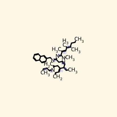 C=C/C=C(CC(=C)/N=C\C=C/C)/C(/C=C\CC(=N/CC1=CC2C=CC=CC2C=C1)/N=C(NC)/C(C)=C/C(C)=C(\C)CCC)=C/C